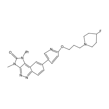 CC(C)n1c(=O)n(C)c2nnc3ccc(-c4ccc(OCCCN5CCC(F)CC5)nc4)cc3c21